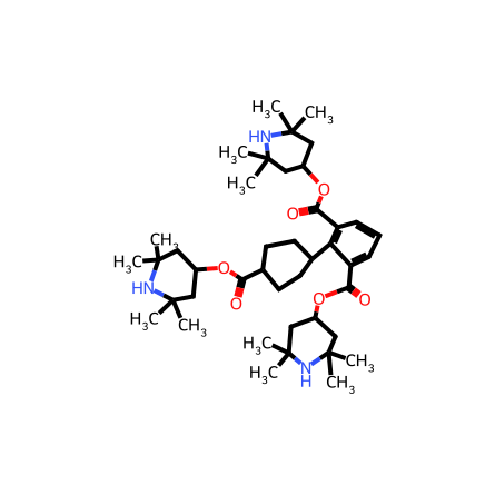 CC1(C)CC(OC(=O)c2cccc(C(=O)OC3CC(C)(C)NC(C)(C)C3)c2C2CCC(C(=O)OC3CC(C)(C)NC(C)(C)C3)CC2)CC(C)(C)N1